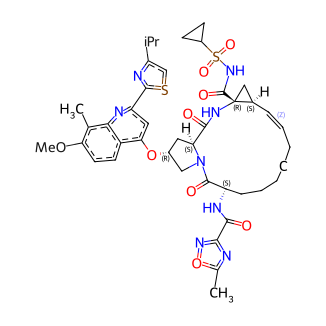 COc1ccc2c(O[C@@H]3C[C@H]4C(=O)N[C@]5(C(=O)NS(=O)(=O)C6CC6)C[C@H]5/C=C\CCCCC[C@H](NC(=O)c5noc(C)n5)C(=O)N4C3)cc(-c3nc(C(C)C)cs3)nc2c1C